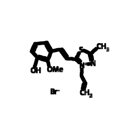 C=CC[n+]1nc(C)sc1C=Cc1cccc(O)c1OC.[Br-]